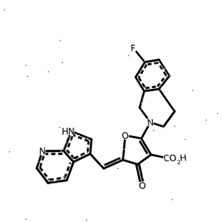 O=C(O)C1=C(N2CCc3ccc(F)cc3C2)O/C(=C\c2c[nH]c3ncccc23)C1=O